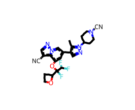 Cc1c(-c2cc(OC(F)(C(F)F)C3CCO3)c3c(C#N)cnn3c2)cnn1C1CCN(C#N)CC1